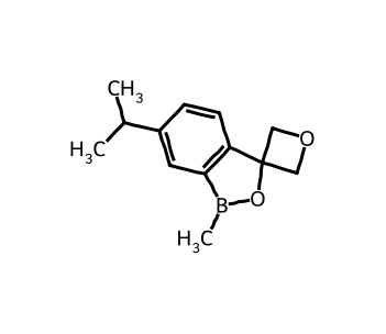 CB1OC2(COC2)c2ccc(C(C)C)cc21